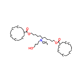 CN(CCCCO)C(CCCCCOC(=O)C1CCCCCCCCCCCCCC1)CCCCCOC(=O)C1CCCCCCCCCCCCCC1